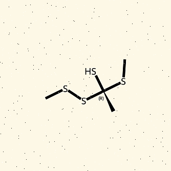 CSS[C@](C)(S)SC